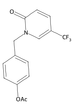 CC(=O)Oc1ccc(Cn2cc(C(F)(F)F)ccc2=O)cc1